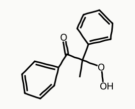 CC(OO)(C(=O)c1ccccc1)c1ccccc1